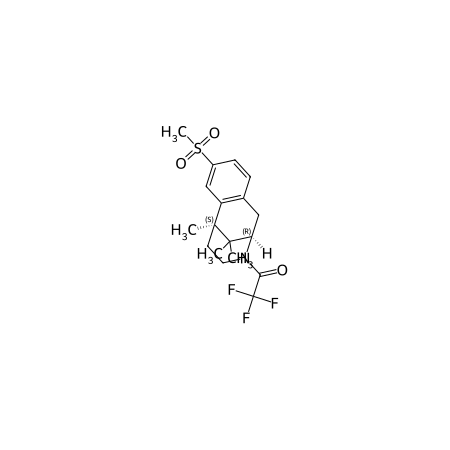 CC1(C)[C@H]2Cc3ccc(S(C)(=O)=O)cc3[C@]1(C)CCN2C(=O)C(F)(F)F